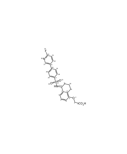 O=C(O)COc1cccc2c1CCCC2NS(=O)(=O)c1ccc(-c2ccc(F)nc2)cc1